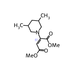 COC(=O)/C=C(\C(=O)OC)N1CC(C)CC(C)C1